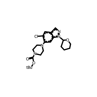 CC(C)(C)OC(=O)N1CCN(c2cc3c(cnn3C3CCCCO3)cc2Cl)CC1